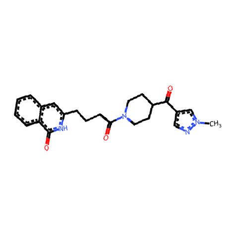 Cn1cc(C(=O)C2CCN(C(=O)CCCc3cc4ccccc4c(=O)[nH]3)CC2)cn1